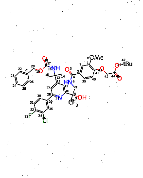 COc1cc(C(=O)NCC(O)(c2cc(C(C)(C)NC(=O)OCc3ccccc3)cc(-c3ccc(F)c(Cl)c3)n2)C(F)(F)F)ccc1OCC(=O)OC(C)(C)C